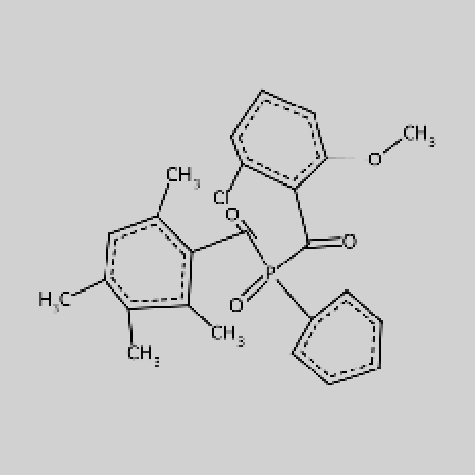 COc1cccc(Cl)c1C(=O)P(=O)(C(=O)c1c(C)cc(C)c(C)c1C)c1ccccc1